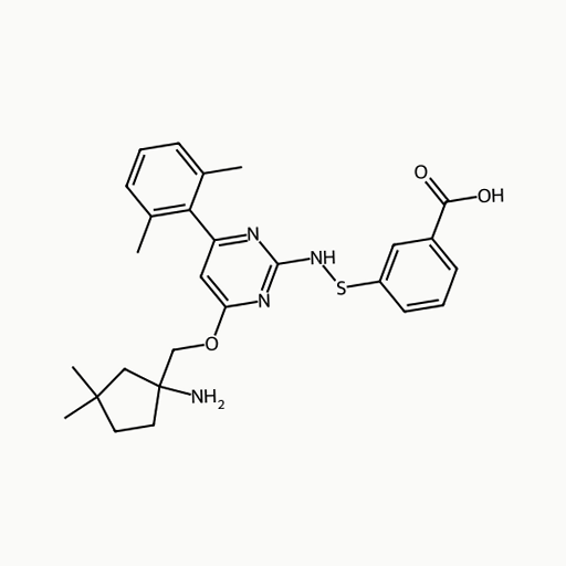 Cc1cccc(C)c1-c1cc(OCC2(N)CCC(C)(C)C2)nc(NSc2cccc(C(=O)O)c2)n1